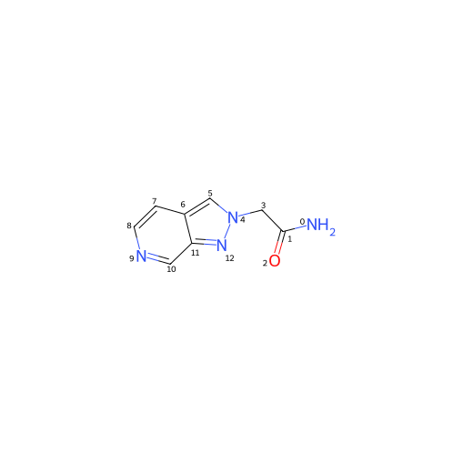 NC(=O)Cn1cc2ccncc2n1